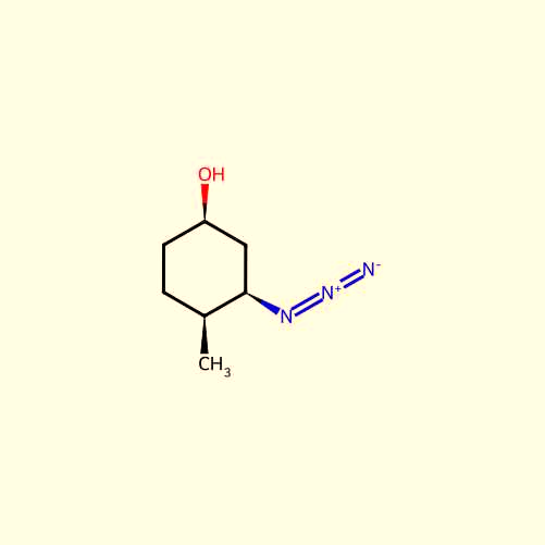 C[C@H]1CC[C@@H](O)C[C@H]1N=[N+]=[N-]